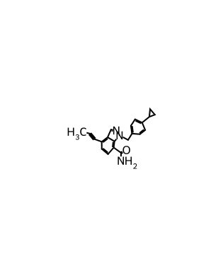 CC#Cc1ccc(C(N)=O)c2c1cnn2Cc1ccc(C2CC2)cc1